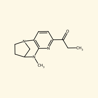 CCC(=O)c1ccc2c(n1)N(C)C1CCN2C1